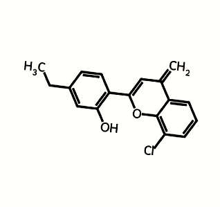 C=C1C=C(c2ccc(CC)cc2O)Oc2c(Cl)cccc21